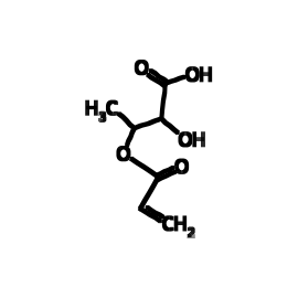 C=CC(=O)OC(C)C(O)C(=O)O